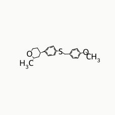 COc1ccc(CSc2ccc([C@@H]3CCO[C@@H](C)C3)cc2)cc1